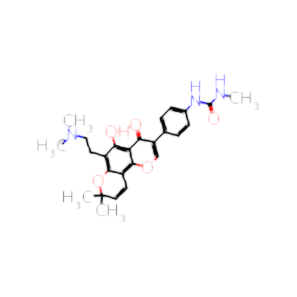 CNC(=O)Nc1ccc(-c2coc3c4c(c(CCN(C)C)c(O)c3c2=O)OC(C)(C)C=C4)cc1